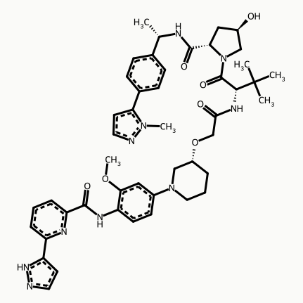 COc1cc(N2CCC[C@@H](OCC(=O)N[C@H](C(=O)N3C[C@H](O)C[C@H]3C(=O)N[C@@H](C)c3ccc(-c4ccnn4C)cc3)C(C)(C)C)C2)ccc1NC(=O)c1cccc(-c2ccn[nH]2)n1